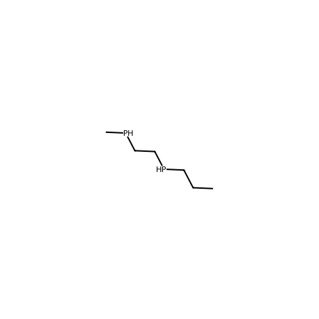 CCCPCCPC